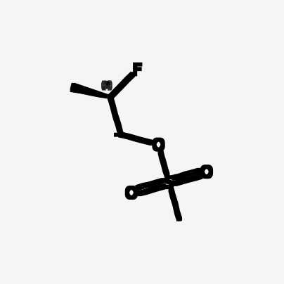 C[C@@H](F)[CH]OS(C)(=O)=O